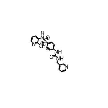 Cc1ncccc1NS(=O)(=O)c1ccc(NC(=O)NCc2cccnc2)cc1